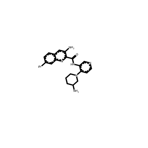 CC(C)c1ccc2cc(N)c(C(=O)Nc3cnccc3N3CCCC(N)C3)nc2c1